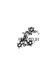 CCCCOC(=O)c1ccccc1CCN[P@](=O)(CO[C@H](C)Cn1cnc2c(N)ncnc21)NCCc1ccccc1C(=O)OCC